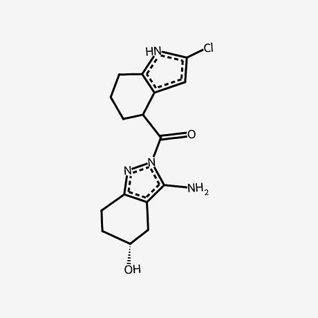 Nc1c2c(nn1C(=O)C1CCCc3[nH]c(Cl)cc31)CC[C@@H](O)C2